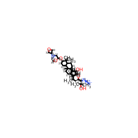 C[C@@H]1C[C@H]([C@H](N=[N+]=[N-])C(C)(C)O)O[C@H]2[C@H]1[C@@]1(C)CCC34C[C@@]35CC[C@H](O[C@H]3CN(C6COC6)CCO3)C(C)(C)C5CC[C@H]4[C@]1(C)[C@H]2O